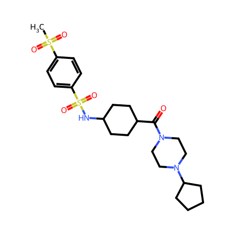 CS(=O)(=O)c1ccc(S(=O)(=O)NC2CCC(C(=O)N3CCN(C4CCCC4)CC3)CC2)cc1